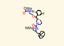 CNC[C@H](CC12CC3CC(CC(C3)C1)C2)NC(=O)N1CCC[C@@H]([C@@H](OCCNC(=O)OC)c2cc(F)ccc2F)C1